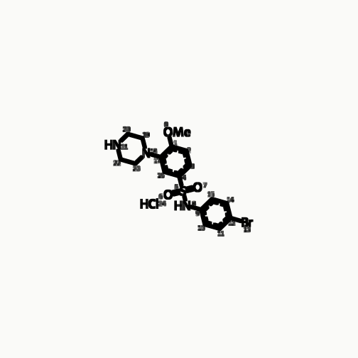 COc1ccc(S(=O)(=O)Nc2ccc(Br)cc2)cc1N1CCNCC1.Cl